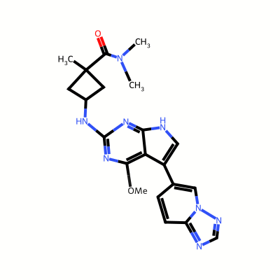 COc1nc(NC2CC(C)(C(=O)N(C)C)C2)nc2[nH]cc(-c3ccc4ncnn4c3)c12